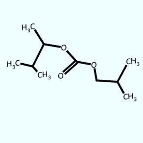 CC(C)COC(=O)OC(C)C(C)C